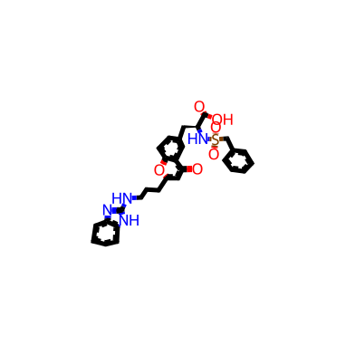 O=C(O)[C@H](Cc1ccc2oc(CCCNc3nc4ccccc4[nH]3)cc(=O)c2c1)NS(=O)(=O)Cc1ccccc1